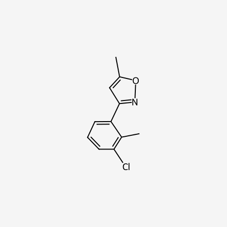 Cc1cc(-c2cccc(Cl)c2C)no1